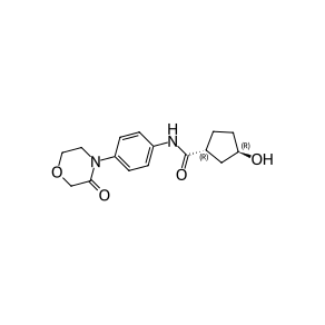 O=C(Nc1ccc(N2CCOCC2=O)cc1)[C@@H]1CC[C@@H](O)C1